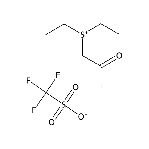 CC[S+](CC)CC(C)=O.O=S(=O)([O-])C(F)(F)F